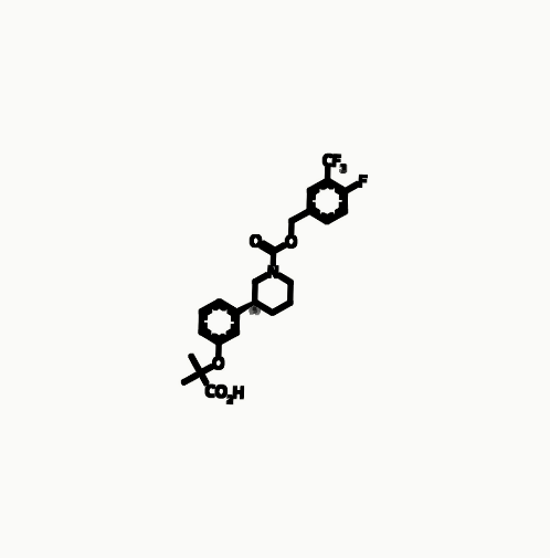 CC(C)(Oc1cccc([C@@H]2CCCN(C(=O)OCc3ccc(F)c(C(F)(F)F)c3)C2)c1)C(=O)O